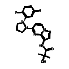 CC(C)(O)C(=O)Nc1cnn2ccc(N3CCC[C@@H]3c3cc(F)ccc3F)nc12